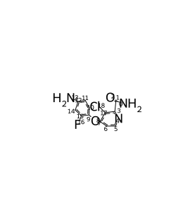 NC(=O)c1nccc(Oc2ccc(N)cc2F)c1Cl